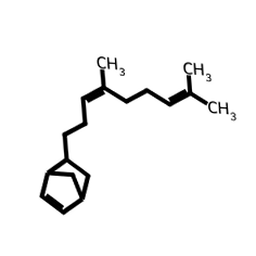 CC(C)=CCCC(C)=CCCC1CC2C=CC1C2